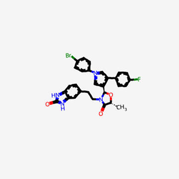 C[C@H]1O[C@H](c2cn(-c3ccc(Br)cc3)cc2-c2ccc(F)cc2)N(CCc2ccc3[nH]c(=O)[nH]c3c2)C1=O